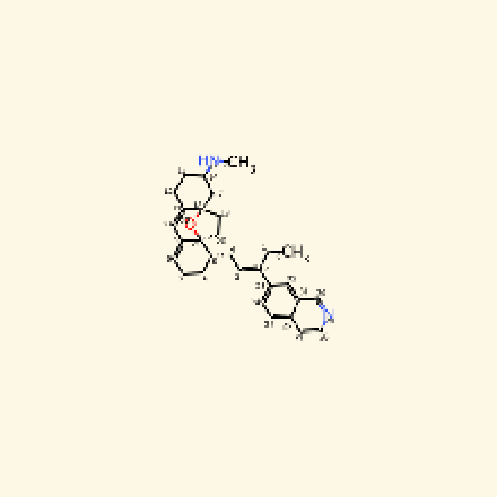 CC/C(=C\C[C@@H]1CCC=C2C=C3CC[C@@H](NC)C[C@]34CC[C@@]21O4)c1ccc2ccncc2c1